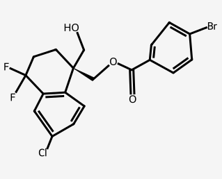 O=C(OC[C@]1(CO)CCC(F)(F)c2cc(Cl)ccc21)c1ccc(Br)cc1